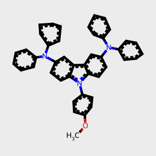 COc1ccc(-n2c3ccc(N(c4ccccc4)c4ccccc4)cc3c3cc(N(c4ccccc4)c4ccccc4)ccc32)cc1